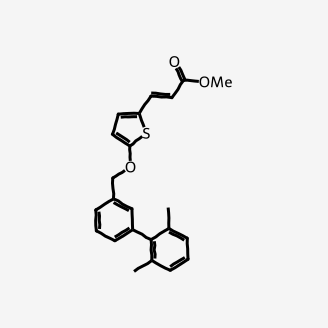 COC(=O)C=Cc1ccc(OCc2cccc(-c3c(C)cccc3C)c2)s1